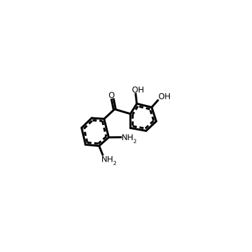 Nc1cccc(C(=O)c2cccc(O)c2O)c1N